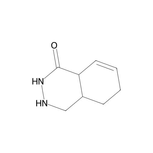 O=C1NNCC2CCC=CC12